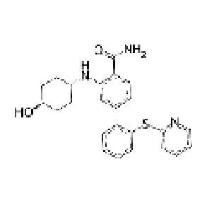 NC(=O)c1ccc(-c2ccccc2Sc2ccccn2)cc1N[C@H]1CC[C@H](O)CC1